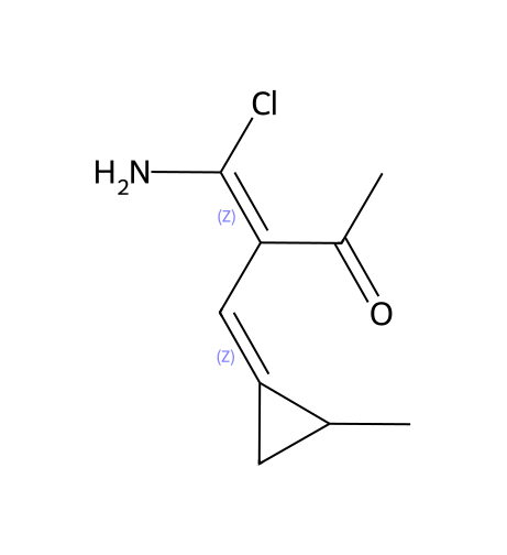 CC(=O)C(/C=C1/CC1C)=C(/N)Cl